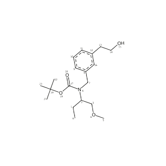 CCC(COC)N(Cc1cccc(CCO)c1)C(=O)OC(C)(C)C